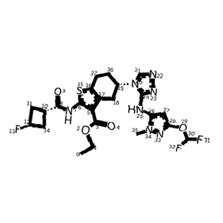 CCOC(=O)c1c(NC(=O)[C@H]2C[C@H](F)C2)sc2c1C[C@@H](n1cnnc1Nc1cc(OC(F)F)nn1C)CC2